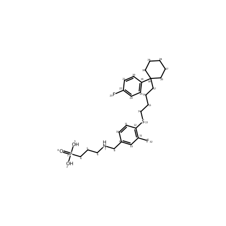 O=P(O)(O)CCCNCc1ccc(SCCCCC2(c3ccc(F)cc3)CCCCC2)c(F)c1